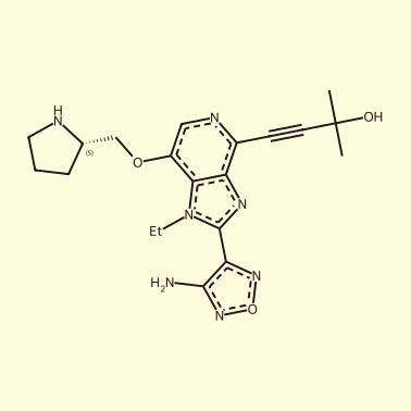 CCn1c(-c2nonc2N)nc2c(C#CC(C)(C)O)ncc(OC[C@@H]3CCCN3)c21